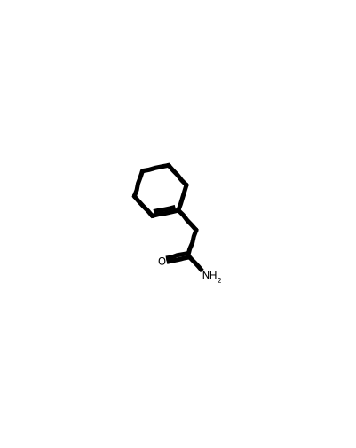 NC(=O)CC1=CCCCC1